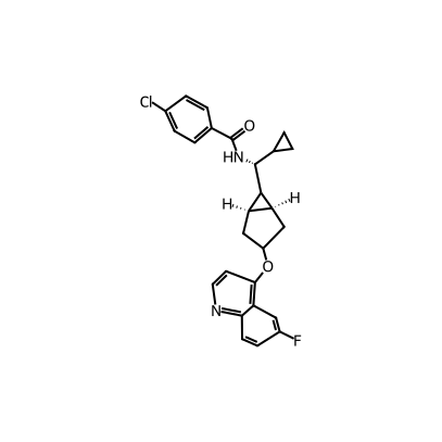 O=C(N[C@H](C1CC1)C1[C@H]2CC(Oc3ccnc4ccc(F)cc34)C[C@@H]12)c1ccc(Cl)cc1